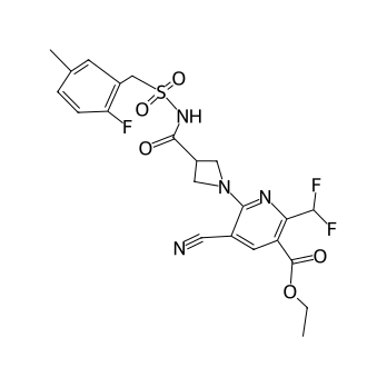 CCOC(=O)c1cc(C#N)c(N2CC(C(=O)NS(=O)(=O)Cc3cc(C)ccc3F)C2)nc1C(F)F